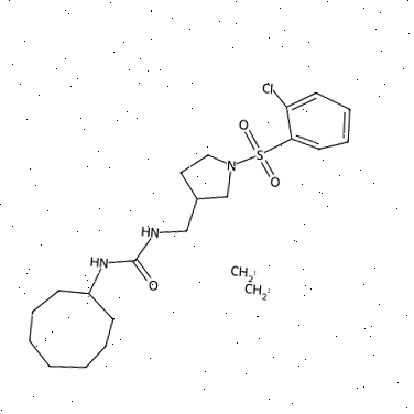 O=C(NCC1CCN(S(=O)(=O)c2ccccc2Cl)C1)N[C]1CCCCCCC1.[CH2].[CH2]